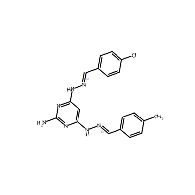 Cc1ccc(/C=N/Nc2cc(N/N=C/c3ccc(Cl)cc3)nc(N)n2)cc1